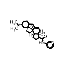 CN(C)[C@H]1CCC2=CC3=CC[C@]4(C)C(C(=O)Nc5cccnc5)CC[C@H]4[C@@]34CC[C@]2(C1)O4